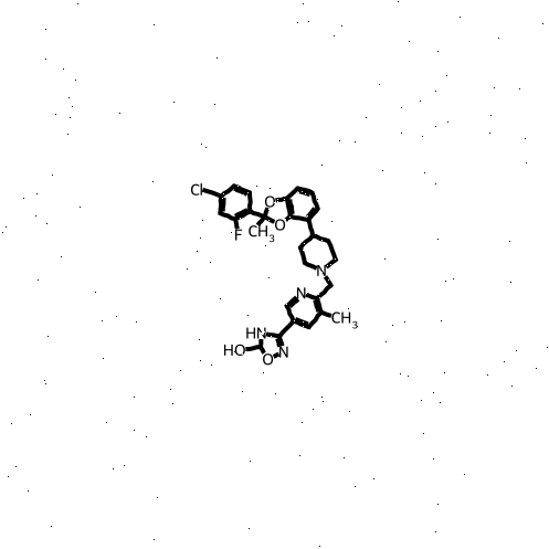 Cc1cc(C2=NOC(O)N2)cnc1CN1CCC(c2cccc3c2OC(C)(c2ccc(Cl)cc2F)O3)CC1